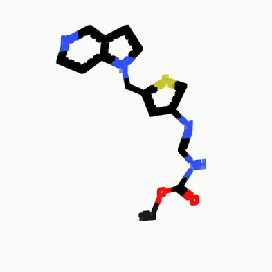 CC(C)(C)OC(=O)NC=Nc1csc(Cn2ccc3cnccc32)c1